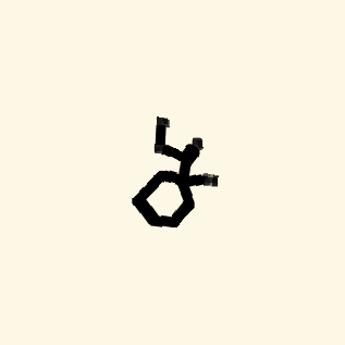 CCOC(=O)C1(S)CCCCC1